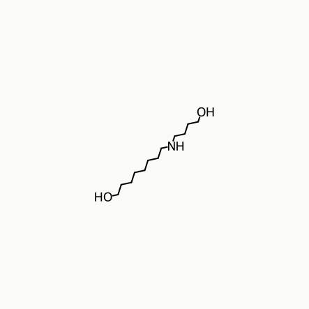 OCCCCCCCCNCCCCO